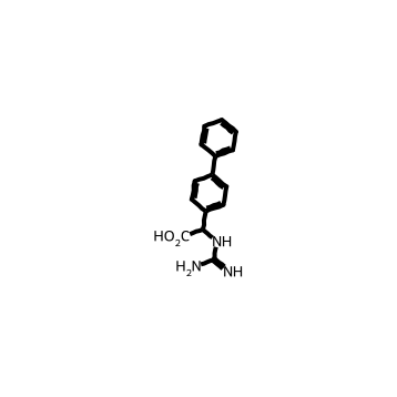 N=C(N)NC(C(=O)O)c1ccc(-c2ccccc2)cc1